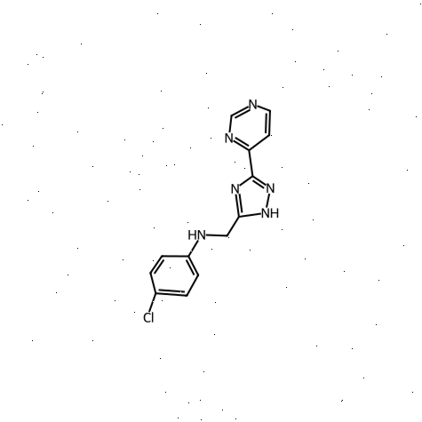 Clc1ccc(NCc2nc(-c3ccncn3)n[nH]2)cc1